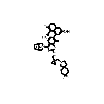 C#Cc1c(F)ccc2cc(O)cc(-c3ccc4c(N5CC6CCC(C5)N6)nc(OCC5(CN6CCC7(CCC(F)(F)CC7)C6)CC5)nc4c3F)c12